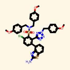 COc1ccc(CN(Cc2ccc(OC)cc2)S(=O)(=O)c2c(Br)ccc(-c3cccc4sc(N)nc34)c2-c2nnn(Cc3ccc(OC)cc3)n2)cc1